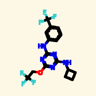 FC(F)(F)COc1nc(Nc2cccc(C(F)(F)F)c2)nc(NC2CCC2)n1